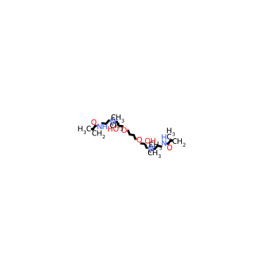 C=C(C)C(=O)NCCC[N+](C)(C)CC(O)COCCCCOCC(O)C[N+](C)(C)CCCNC(=O)C(=C)C